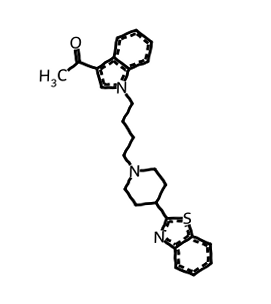 CC(=O)c1cn(CCCCN2CCC(c3nc4ccccc4s3)CC2)c2ccccc12